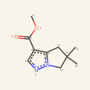 COC(=O)c1cnn2c1CC(C)(C)C2